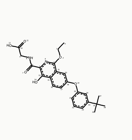 CCOc1nc(C(=O)NCC(=O)O)c(O)c2ccc(Oc3cccc(C(C)(C)C)c3)cc12